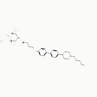 CCCCCC1CCC(c2ccc(-c3ccc(OCCCC(=O)OC4CC(C)(C)N(C)C(C)(C)C4)cc3)cc2)CC1